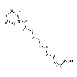 CCCCCCCC/C=C\CCCCCCC[CH]Cc1ccccc1